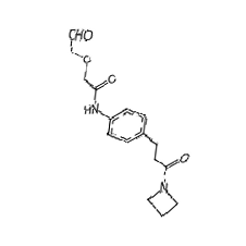 O=CCOCC(=O)Nc1ccc(CCC(=O)N2CCC2)cc1